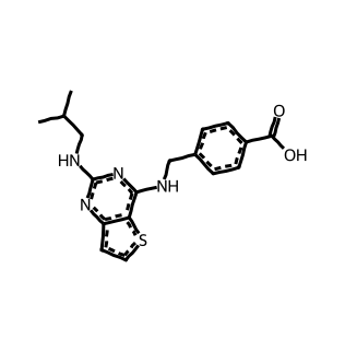 CC(C)CNc1nc(NCc2ccc(C(=O)O)cc2)c2sccc2n1